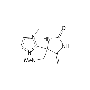 C=C1NC(=O)NC1(CNC)c1nccn1C